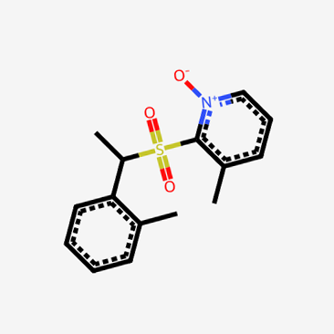 Cc1ccccc1C(C)S(=O)(=O)c1c(C)ccc[n+]1[O-]